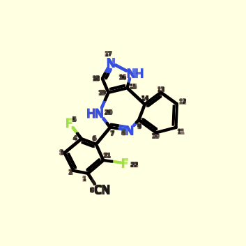 N#Cc1ccc(F)c(C2=Nc3ccccc3-c3[nH]ncc3N2)c1F